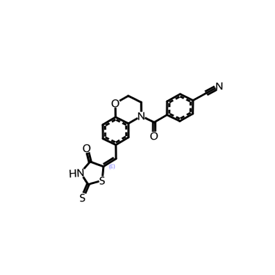 N#Cc1ccc(C(=O)N2CCOc3ccc(/C=C4/SC(=S)NC4=O)cc32)cc1